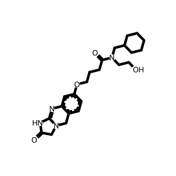 O=C1CN2Cc3ccc(OCCCC(=O)N(CCO)CC4CCCCC4)cc3N=C2N1